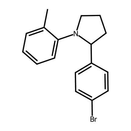 Cc1ccccc1N1CCCC1c1ccc(Br)cc1